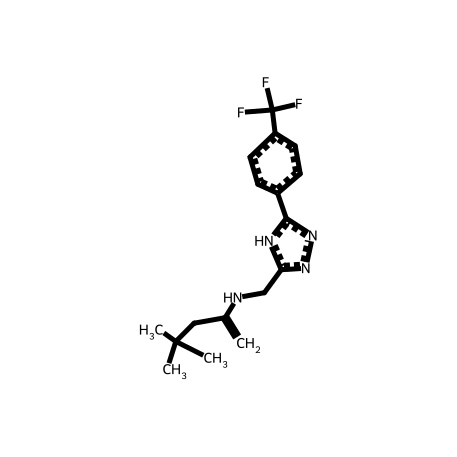 C=C(CC(C)(C)C)NCc1nnc(-c2ccc(C(F)(F)F)cc2)[nH]1